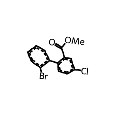 COC(=O)c1cc(Cl)ccc1-c1ccccc1Br